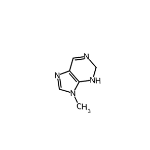 Cn1cnc2c1NCN=C2